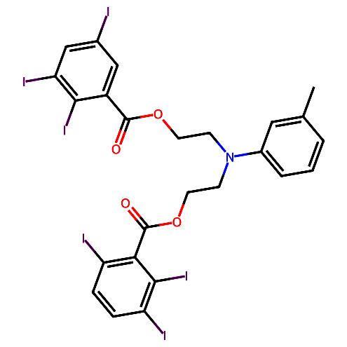 Cc1cccc(N(CCOC(=O)c2cc(I)cc(I)c2I)CCOC(=O)c2c(I)ccc(I)c2I)c1